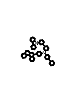 c1ccc(-c2ccc(N(c3ccc(-c4cc5ccc6ccccc6c5c5ccccc45)cc3)c3cccc(-c4cccc(-n5c6ccccc6c6ccccc65)c4)c3)cc2)cc1